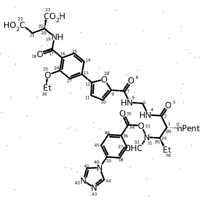 CCCCC[C@@H](C(=O)NCNC(=O)c1ccc(-c2ccc(C(=O)N[C@@H](CC(=O)O)C(=O)O)c(OCC)c2)o1)[C@@H](CC)N(C=O)OC(=O)c1ccc(-n2cnnc2)cc1